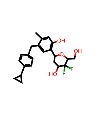 Cc1cc(O)c(C2CC(O)C(F)(F)C(CO)O2)cc1Cc1ccc(C2CC2)cc1